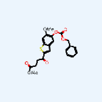 COC(=O)CCC(=O)c1cc2cc(OC(=O)OCc3ccccc3)c(OC)cc2s1